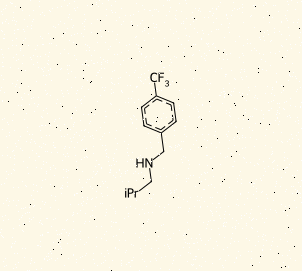 CC(C)CNCc1ccc(C(F)(F)F)cc1